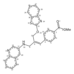 COC(=O)c1ccc(/C=C(/CNc2cnc3ccccc3c2)COc2nc3ccccc3s2)cc1